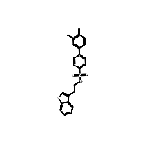 Cc1ccc(-c2ccc(S(=O)(=O)NCCc3c[nH]c4ccccc34)cc2)cc1C